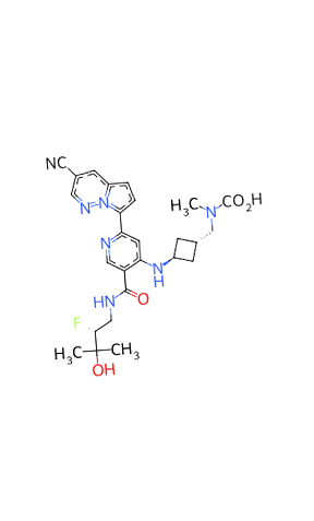 CN(C[C@H]1C[C@H](Nc2cc(-c3ccc4cc(C#N)cnn34)ncc2C(=O)NC[C@@H](F)C(C)(C)O)C1)C(=O)O